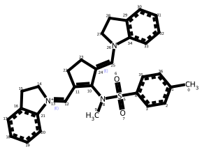 Cc1ccc(S(=O)(=O)N(C)C2=C(/C=[N+]3\CCc4ccccc43)CC/C2=C\N2CCc3ccccc32)cc1